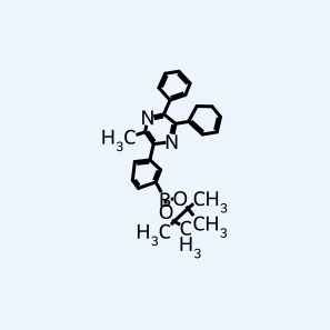 Cc1nc(-c2ccccc2)c(C2=CC=CCC2)nc1-c1cccc(B2OC(C)(C)C(C)(C)O2)c1